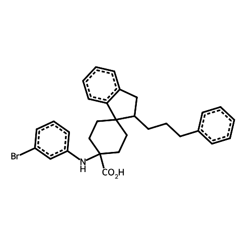 O=C(O)C1(Nc2cccc(Br)c2)CCC2(CC1)c1ccccc1CC2CCCc1ccccc1